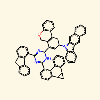 C1=C(C2N=C(c3cccc4c3-c3ccccc3C4)N=C(c3cccc4c3-c3ccccc3C3CC43)N2)C2=C(CC1n1c3ccccc3c3cc4ccccc4cc31)c1ccccc1OC2